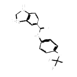 O=C(Nc1ccc(OC(F)(F)F)cc1)c1ccc2c(c1)NCN2